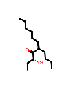 CCCCCCC(CCCC)C(=O)[C@H](O)CC